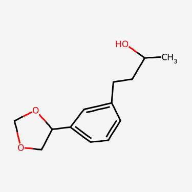 CC(O)CCc1cccc(C2COCO2)c1